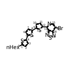 CCCCCCc1ccc(-c2ccc(-c3ccc(-c4ncc(Br)c5nsnc45)s3)s2)s1